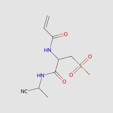 C=CC(=O)NC(CS(C)(=O)=O)C(=O)NC(C)C#N